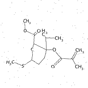 C=C(C)C(=O)OC1(C(C)C)CCC(SC)CC1C(=O)OC